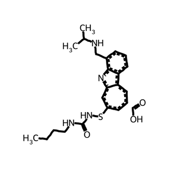 CCCCNC(=O)NSc1cccc2c3cccc(CNC(C)C)c3nc-2c1.O=CO